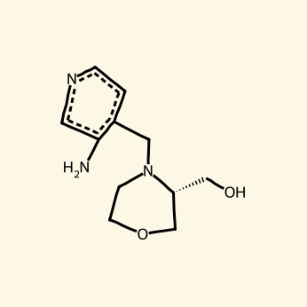 Nc1cnccc1CN1CCOC[C@H]1CO